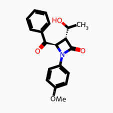 COc1ccc(N2C(=O)[C@@H](C(C)O)[C@@H]2C(=O)c2ccccc2)cc1